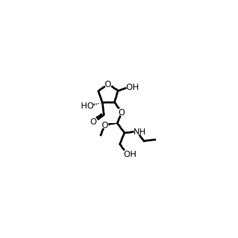 CCNC(CO)[C@@H](OC)OC1C(O)OC[C@]1(O)C=O